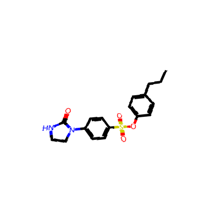 CCCc1ccc(OS(=O)(=O)c2ccc(N3CCNC3=O)cc2)cc1